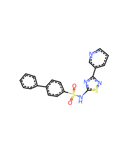 O=S(=O)(Nc1nc(-c2cccnc2)ns1)c1ccc(-c2ccccc2)cc1